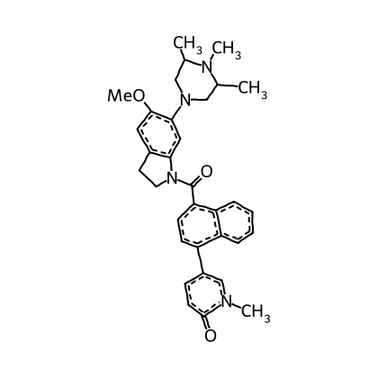 COc1cc2c(cc1N1CC(C)N(C)C(C)C1)N(C(=O)c1ccc(-c3ccc(=O)n(C)c3)c3ccccc13)CC2